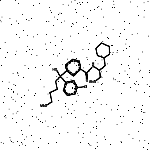 CNC[C@H](CC1CCCCC1)NC(=O)c1cccc(C(O)(CCCCOC)c2cccc(Cl)c2)c1